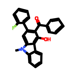 Cn1c2ccccc2c2c(O)c(C(=O)c3ccccc3)c(-c3ccccc3F)cc21